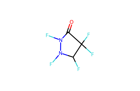 O=C1N(F)N(F)C(F)C1(F)F